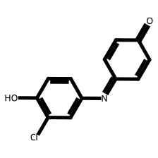 O=C1C=CC(=Nc2ccc(O)c(Cl)c2)C=C1